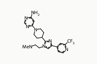 CNCCn1cc(-c2ccnc(C(F)(F)F)c2)nc1C1CCN(c2cc(N)ncn2)CC1